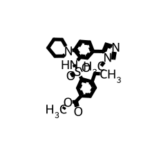 CCc1ccc(C(=O)OC)cc1S(=O)(=O)Nc1cc(-c2cncn2C)ccc1N1CCCCC1